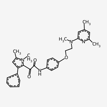 Cc1cc(C)nc(N(C)CCOc2ccc(NC(=O)C(=O)c3c(-c4ccccc4)cc(C)n3C)cc2)c1